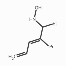 C=C/C=C(\C(C)C)C(CC)NO